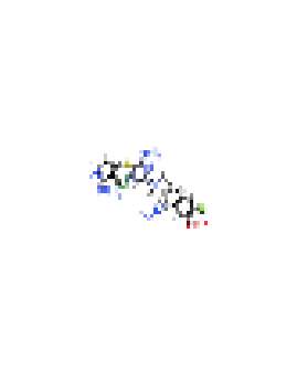 Nc1nc(N2CCC3(CC2)Cc2cc(F)c(O)cc2[C@H]3N)cnc1Sc1ccnc(N)c1Cl